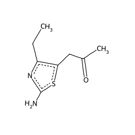 CCc1nc(N)sc1CC(C)=O